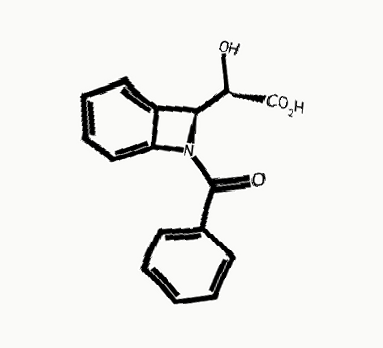 O=C(O)[C@H](O)[C@@H]1c2ccccc2N1C(=O)c1ccccc1